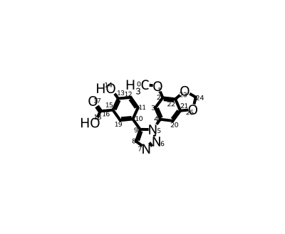 COc1cc(-n2nncc2-c2ccc(O)c(C(=O)O)c2)cc2c1OCO2